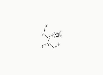 CCC(C)C(N)CC.Cl